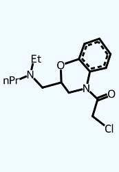 CCCN(CC)CC1CN(C(=O)CCl)c2ccccc2O1